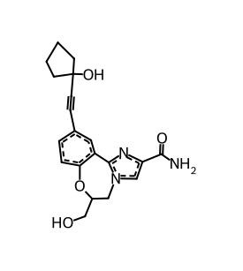 NC(=O)c1cn2c(n1)-c1cc(C#CC3(O)CCCC3)ccc1OC(CO)C2